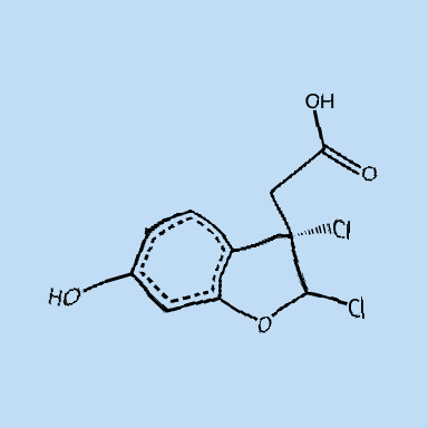 O=C(O)C[C@]1(Cl)c2ccc(O)cc2OC1Cl